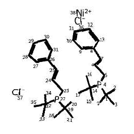 CC(C)(C)P(CC=Cc1ccccc1)C(C)(C)C.CC(C)(C)P(CC=Cc1ccccc1)C(C)(C)C.[Cl-].[Cl-].[Ni+2]